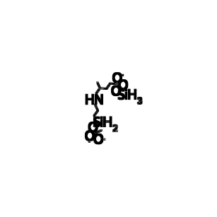 COC(C)(OC)O[SiH2]CCCNCC(C)CCC(OC)(OC)O[SiH3]